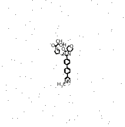 CC(O)C(=O)N1CC[C@@H](CN2C(=O)C3(CCOCC3)N=C2c2ccc(-c3ccc(-c4cnn(C)c4)cc3)cc2)C1